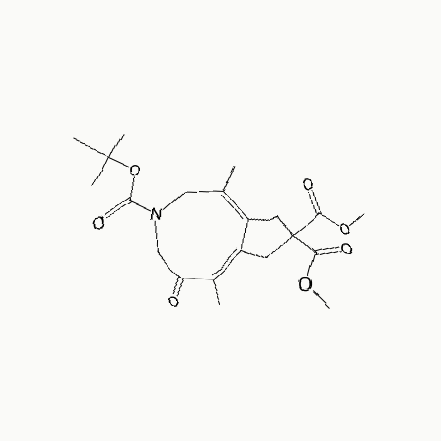 COC(=O)C1(C(=O)OC)CC2=C(C)CN(C(=O)OC(C)(C)C)CC(=O)C(C)=C2C1